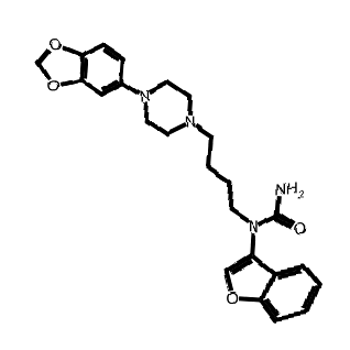 NC(=O)N(CCCCN1CCN(c2ccc3c(c2)OCO3)CC1)c1coc2ccccc12